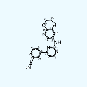 N#Cc1cccc(-c2ccnc(Nc3ccc4c(c3)OCCO4)n2)c1